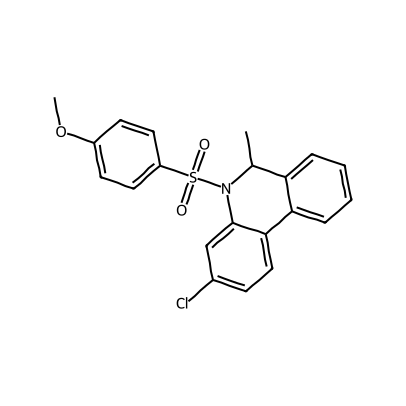 COc1ccc(S(=O)(=O)N2c3cc(Cl)ccc3-c3ccccc3C2C)cc1